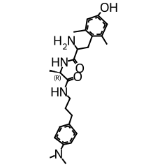 Cc1cc(O)cc(C)c1CC(N)C(=O)N[C@H](C)C(=O)NCCCc1ccc(N(C)C)cc1